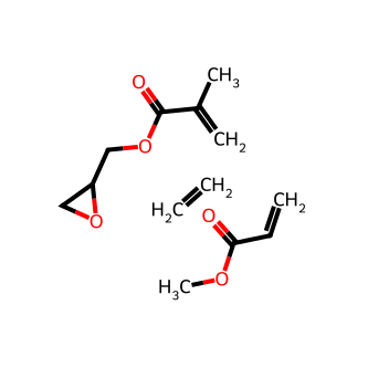 C=C.C=C(C)C(=O)OCC1CO1.C=CC(=O)OC